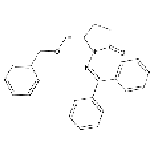 O=C1CC[C@@H](COCc2ccccc2)N1N=C(c1ccccc1)c1ccccc1